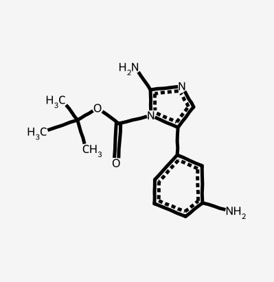 CC(C)(C)OC(=O)n1c(-c2cccc(N)c2)cnc1N